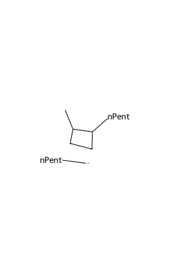 CCCCCC1CCC1C.[CH2]CCCCC